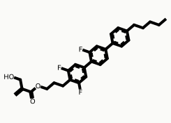 C=C(CO)C(=O)OCCCc1c(F)cc(-c2ccc(-c3ccc(CCCCC)cc3)cc2F)cc1F